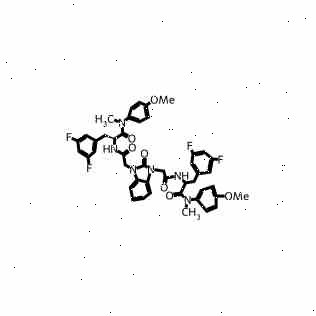 COc1ccc(N(C)C(=O)C(Cc2cc(F)cc(F)c2)NC(=O)Cn2c(=O)n(CC(=O)N[C@@H](Cc3cc(F)cc(F)c3)C(=O)N(C)c3ccc(OC)cc3)c3ccccc32)cc1